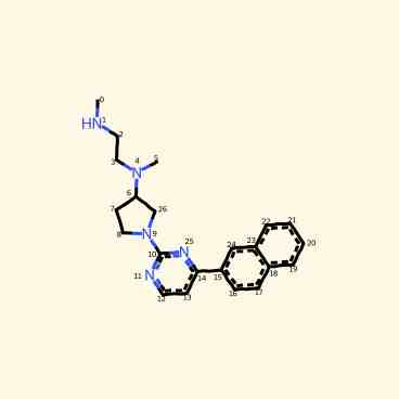 CNCCN(C)C1CCN(c2nccc(-c3ccc4ccccc4c3)n2)C1